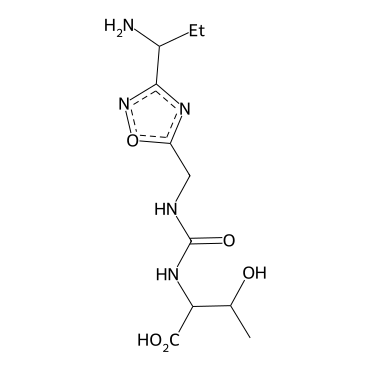 CCC(N)c1noc(CNC(=O)NC(C(=O)O)C(C)O)n1